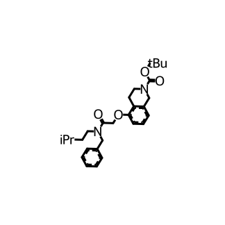 CC(C)CCN(Cc1ccccc1)C(=O)COc1cccc2c1CCN(C(=O)OC(C)(C)C)C2